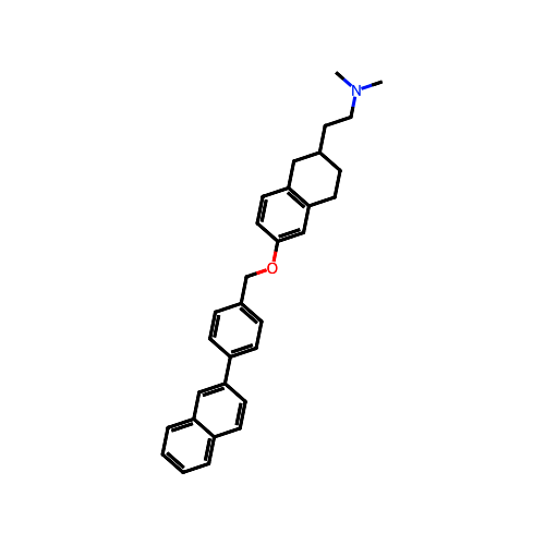 CN(C)CCC1CCc2cc(OCc3ccc(-c4ccc5ccccc5c4)cc3)ccc2C1